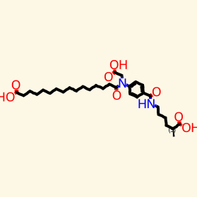 C[C@@H](CCCCNC(=O)c1ccc(N(CC(=O)O)C(=O)CCCCCCCCCCCCCCC(=O)O)cc1)C(=O)O